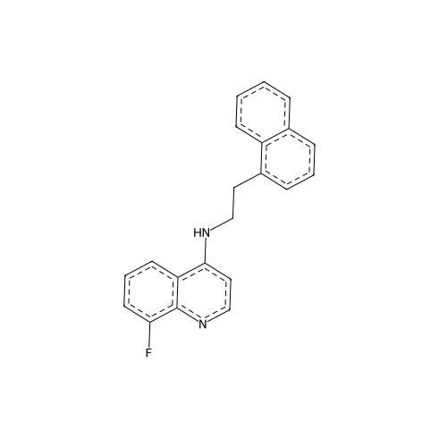 Fc1cccc2c(NCCc3cccc4ccccc34)ccnc12